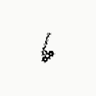 OCCOCCOCCN1CCN2c3ccccc3Cc3ccccc3C2C1